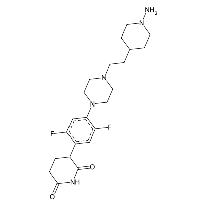 NN1CCC(CCN2CCN(c3cc(F)c(C4CCC(=O)NC4=O)cc3F)CC2)CC1